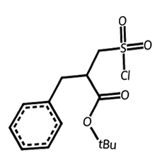 CC(C)(C)OC(=O)C(Cc1ccccc1)CS(=O)(=O)Cl